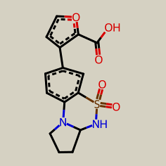 O=C(O)c1occc1-c1ccc2c(c1)S(=O)(=O)NC1CCCN21